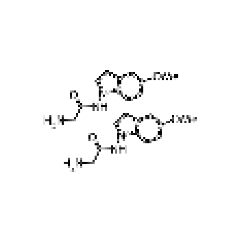 COc1ccc2c(ccn2NC(=O)CN)c1.COc1ccc2c(ccn2NC(=O)CN)c1